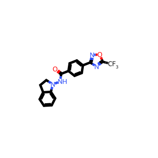 O=C(NN1CCc2ccccc21)c1ccc(-c2noc(C(F)(F)F)n2)cc1